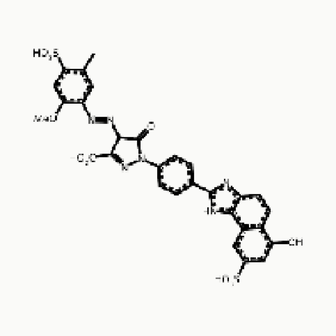 COc1cc(S(=O)(=O)O)c(C)cc1/N=N/C1C(=O)N(c2ccc(-c3nc4ccc5c(O)cc(S(=O)(=O)O)cc5c4[nH]3)cc2)N=C1C(=O)O